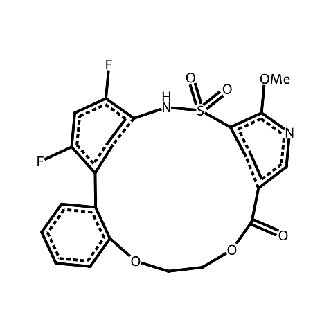 COc1ncc2cc1S(=O)(=O)Nc1cc(c(F)cc1F)-c1ccccc1OCCOC2=O